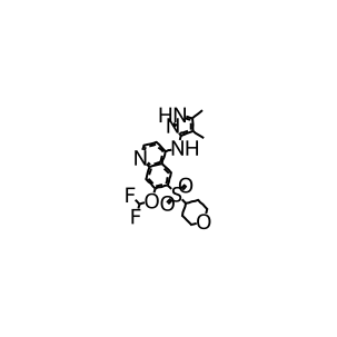 Cc1[nH]nc(Nc2ccnc3cc(OC(F)F)c(S(=O)(=O)C4CCOCC4)cc23)c1C